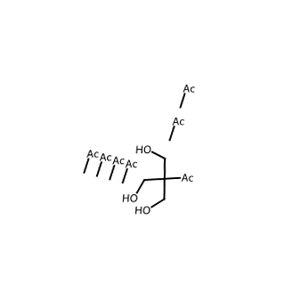 CC(=O)C(CO)(CO)CO.CC(C)=O.CC(C)=O.CC(C)=O.CC(C)=O.CC(C)=O.CC(C)=O